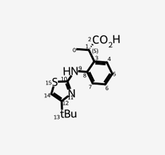 C[C@H](C(=O)O)c1ccccc1Nc1nc(C(C)(C)C)cs1